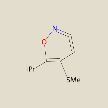 CSC1=C(C(C)C)ON=C=C1